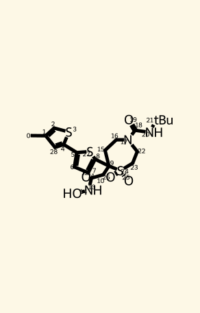 Cc1csc(-c2ccc(C3(CC(=O)NO)CCN(C(=O)NC(C)(C)C)CCS3(=O)=O)s2)c1